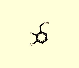 CNCc1cccc(C(F)(F)F)c1F